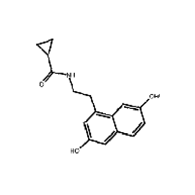 O=C(NCCc1cc(O)cc2ccc(O)cc12)C1CC1